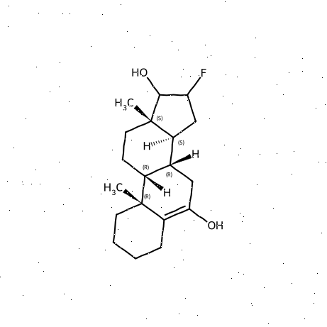 C[C@]12CCCCC1=C(O)C[C@@H]1[C@H]2CC[C@]2(C)C(O)C(F)C[C@@H]12